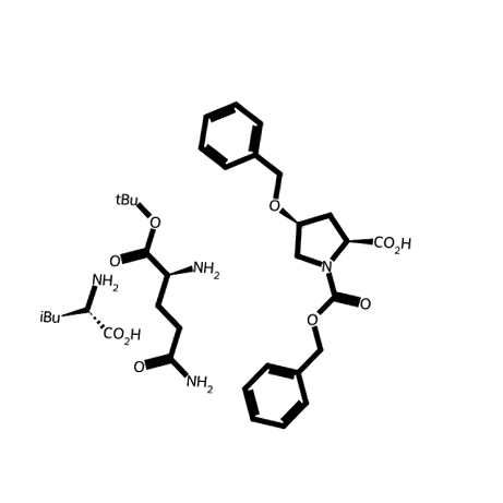 CC(C)(C)OC(=O)[C@@H](N)CCC(N)=O.CC[C@H](C)[C@H](N)C(=O)O.O=C(O)[C@@H]1C[C@H](OCc2ccccc2)CN1C(=O)OCc1ccccc1